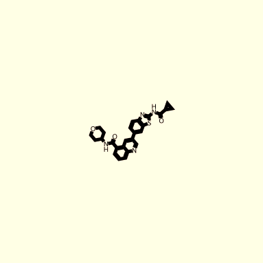 O=C(NC1CCOCC1)c1cccc2ncc(-c3ccc4nc(NC(=O)C5CC5)sc4c3)cc12